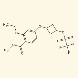 CCOc1cc(OC2CC(OS(=O)(=O)C(F)(F)F)C2)ccc1C(=O)OC